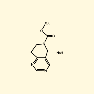 CC(C)(C)OC(=O)N1CCc2ncncc2C1.[NaH]